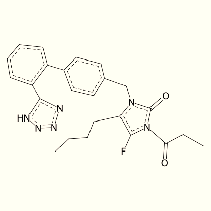 CCCCc1c(F)n(C(=O)CC)c(=O)n1Cc1ccc(-c2ccccc2-c2nnn[nH]2)cc1